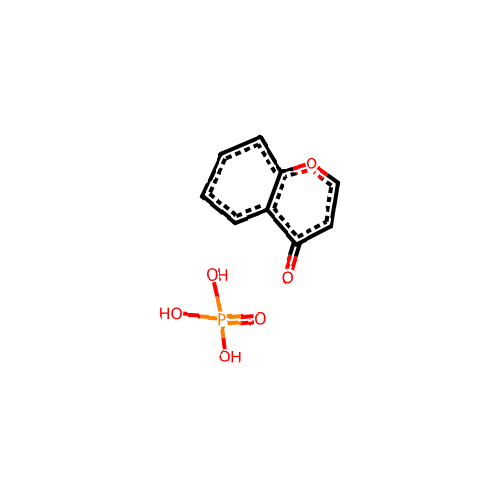 O=P(O)(O)O.O=c1ccoc2ccccc12